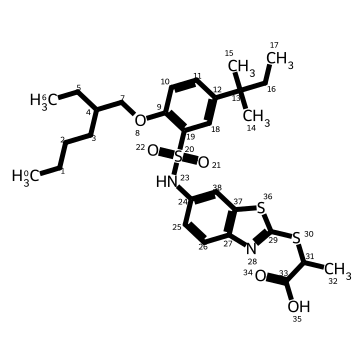 CCCCC(CC)COc1ccc(C(C)(C)CC)cc1S(=O)(=O)Nc1ccc2nc(SC(C)C(=O)O)sc2c1